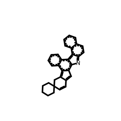 C1=CC2(CCCCC2)CC2=c3c(c4c(c5ccccc35)=c3c(ccc5ccccc35)=N4)C=C12